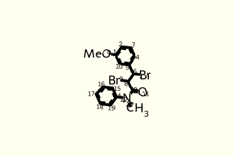 COc1cccc(C(Br)C(Br)C(=O)N(C)c2ccccc2)c1